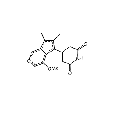 COc1cocc2c(C)c(C)c(C3CC(=O)NC(=O)C3)c1-2